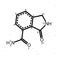 NC(=O)c1cccc2c1C(=O)NC2